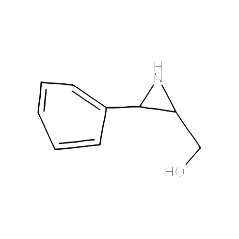 OCC1NC1c1ccccc1